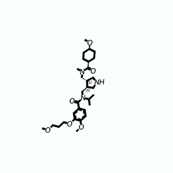 COCCCOc1cc(C(=O)N(C[C@@H]2CNC[C@H]2CN(C)C(=O)[C@H]2CC[C@@H](OC)CC2)C(C)C)ccc1OC